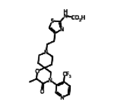 CC1OC2(CCN(CCc3csc(NC(=O)O)n3)CC2)CN(c2cnccc2C(F)(F)F)C1=O